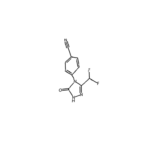 N#Cc1ccc(-n2c(C(F)F)n[nH]c2=O)cc1